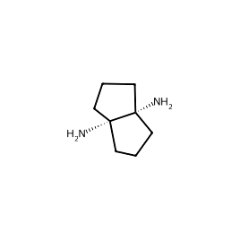 N[C@]12CCC[C@@]1(N)CCC2